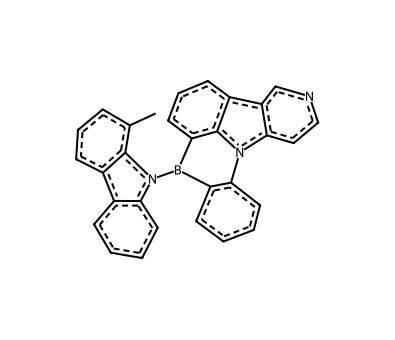 Cc1cccc2c3ccccc3n(B3c4ccccc4-n4c5ccncc5c5cccc3c54)c12